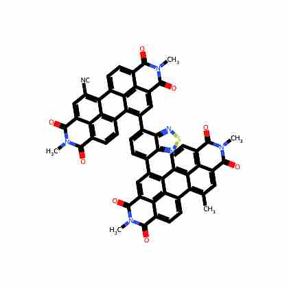 [C-]#[N+]c1cc2c3c(ccc4c5c(-c6ccc(-c7cc8c9c(ccc%10c%11c(C)cc%12c%13c(ccc(c7c9%10)c%13%11)C(=O)N(C)C%12=O)C(=O)N(C)C8=O)c7nsnc67)cc6c7c(ccc(c1c34)c75)C(=O)N(C)C6=O)C(=O)N(C)C2=O